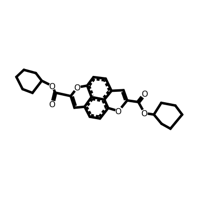 O=C(OC1CCCCC1)C1=Cc2ccc3c4c(ccc(c24)O1)C=C(C(=O)OC1CCCCC1)O3